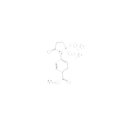 CCOC(=O)C1(C(=O)OCC)CCC(=O)N1c1ccc(C(=O)OC)cc1